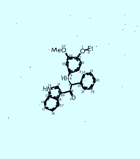 CCOc1ccc(NC(C(=O)c2c[nH]c3ccccc23)c2ccccc2)cc1OC